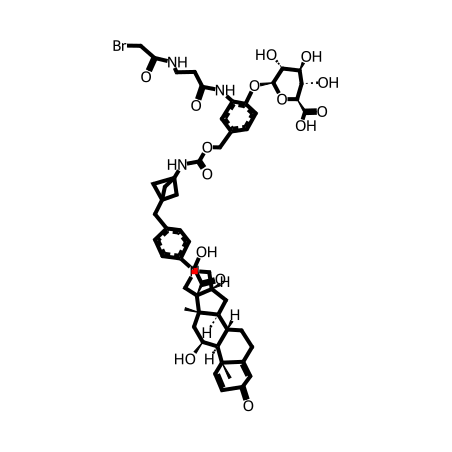 C[C@]12C=CC(=O)C=C1CC[C@@H]1[C@@H]2[C@@H](O)C[C@@]2(C)[C@H]1C[C@H]1CN(c3ccc(CC45CC(NC(=O)OCc6ccc(O[C@@H]7O[C@H](C(=O)O)[C@@H](O)[C@H](O)[C@H]7O)c(NC(=O)CCNC(=O)CBr)c6)(C4)C5)cc3)C[C@]12C(=O)CO